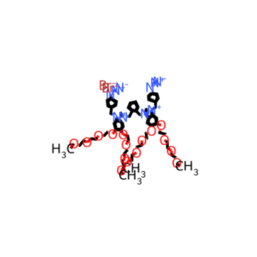 COCCOCCOCCOc1cc2c(cc1OCCOCCOCCOC)[n+](Cc1ccc(N=[N+]=[N-])cc1)cn2Cc1ccccc1Cn1c[n+](Cc2ccc(N=[N+]=[N-])cc2)c2cc(OCCOCCOCCOC)c(OCCOCCOCCOC)cc21.[Br-].[Br-]